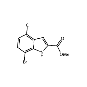 COC(=O)c1cc2c(Cl)ccc(Br)c2[nH]1